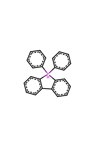 c1ccc([PH]2(c3ccccc3)c3ccccc3-c3ccccc32)cc1